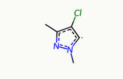 Cc1nn(C)[c]c1Cl